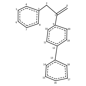 C=C(Cc1ccccc1)c1ccc(-c2ccccc2)cc1